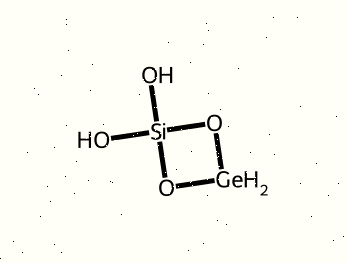 O[Si]1(O)[O][GeH2][O]1